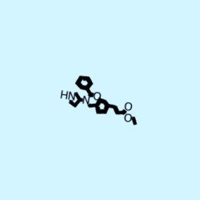 CCOC(=O)C=Cc1ccc(CN(C(=O)c2ccccc2)C2CCNC2)cc1